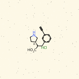 C#Cc1cccc(CC(C(=O)O)[C@H]2CCNC2)c1.Cl